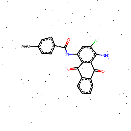 COc1ccc(C(=O)Nc2cc(Cl)c(N)c3c2C(=O)c2ccccc2C3=O)cc1